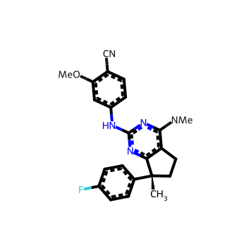 CNc1nc(Nc2ccc(C#N)c(OC)c2)nc2c1CC[C@]2(C)c1ccc(F)cc1